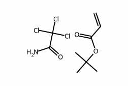 C=CC(=O)OC(C)(C)C.NC(=O)C(Cl)(Cl)Cl